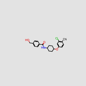 N#Cc1ccc(OC2CCC(NC(=O)c3ccc(CO)cc3)CC2)cc1Cl